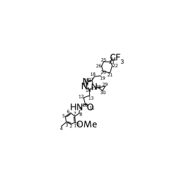 COc1cc(C)ccc1CNC(=O)CCc1nnc(CC[C@H]2CC[C@H](C(F)(F)F)CC2)n1C1CC1